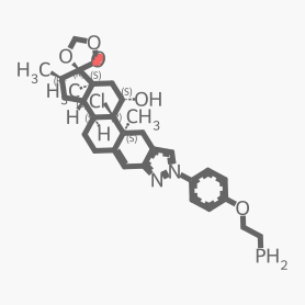 C[C@@H]1C[C@H]2[C@@H]3CCC4=Cc5nn(-c6ccc(OCCP)cc6)cc5C[C@]4(C)[C@@]3(Cl)[C@@H](O)C[C@]2(C)[C@]12OCOC21COCO1